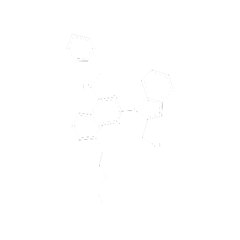 COCCOc1cccc2c(NCc3ccccc3)nc(-n3c(CN)cc4ccccc43)nc12